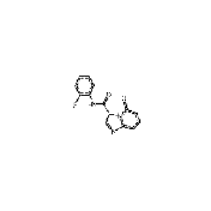 O=C(Nc1ccccc1F)C1C=Nc2cccc(=O)n21